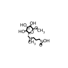 CO[C@H]1O[C@H](CN(C)CCC[Si](=O)O)[C@@H](O)[C@H](O)[C@H]1O